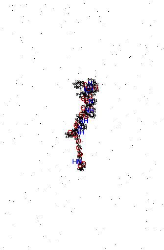 CC[C@H](C)[C@@H]([C@@H](CC(=O)N1CCC[C@H]1[C@H](OC)[C@@H](C)C(=O)N[C@H](C)[C@@H](OC(=O)[C@@H](NC(=O)[C@@H]1CCCN1C(=O)[C@H](CC(=O)OC(C)(C)C)NC(=O)CCOCCOCCOCCNC(=O)OC(C)(C)C)C(C)C)c1ccccc1)OC)N(C)C(=O)[C@@H](NC(=O)[C@H](C(C)C)N(C)C(=O)OCc1ccccc1)C(C)C